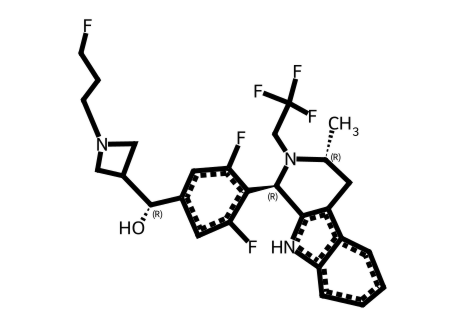 C[C@@H]1Cc2c([nH]c3ccccc23)[C@@H](c2c(F)cc([C@H](O)C3CN(CCCF)C3)cc2F)N1CC(F)(F)F